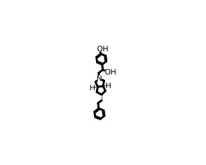 Oc1ccc(C(O)CN2C[C@H]3C[C@H](CCc4ccccc4)C[C@H]3C2)cc1